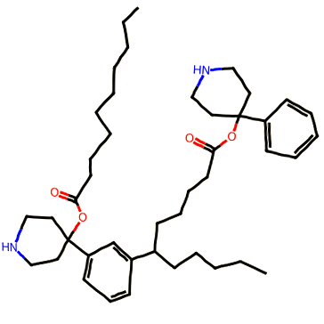 CCCCCCCCCC(=O)OC1(c2cccc(C(CCCCC)CCCCC(=O)OC3(c4ccccc4)CCNCC3)c2)CCNCC1